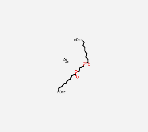 CCCCCCCCCCCCCCCCCC(=O)OCCCOC(=O)CCCCCCCCCCCCCCCCC.[Zn].[Zn]